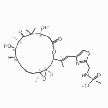 C/C(=C\c1csc(CNP(C)(=O)O)n1)C1C[C@H]2O[C@@]2(C)CCC[C@@H](C)[C@@H](O)[C@H](C)C(=O)C(C)(C)[C@H](O)CC(=O)O1